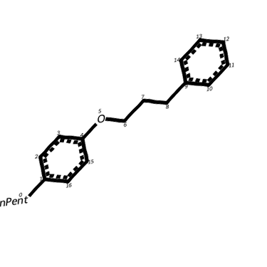 [CH2]CCCCc1ccc(OCCCc2ccccc2)cc1